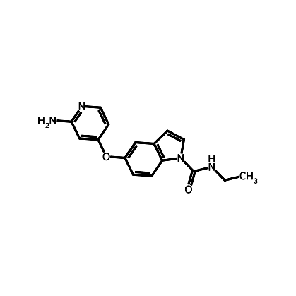 CCNC(=O)n1ccc2cc(Oc3ccnc(N)c3)ccc21